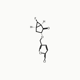 C\C=C(/C=C\C(Cl)=C\Cl)CO[C@@H]1C[C@H]2[C@@H](F)[C@H]2C1=O